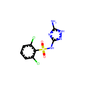 Nc1nc(NS(=O)(=O)c2c(Cl)cccc2Cl)n[nH]1